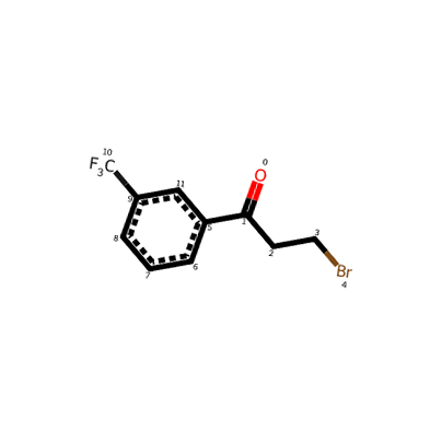 O=C(CCBr)c1cccc(C(F)(F)F)c1